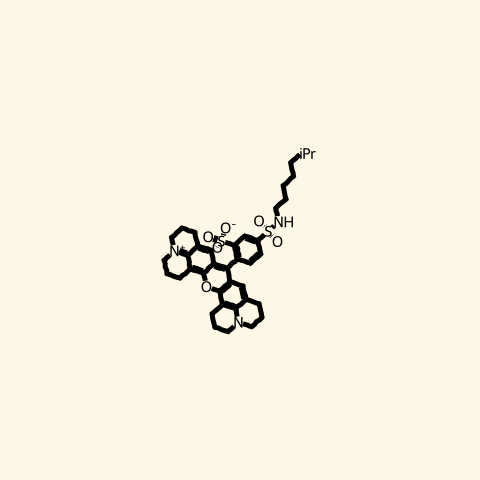 CC(C)CCCCCNS(=O)(=O)c1ccc(C2=c3cc4c5c(c3Oc3c2cc2c6c3CCCN6CCC2)CCC[N+]=5CCC4)c(S(=O)(=O)[O-])c1